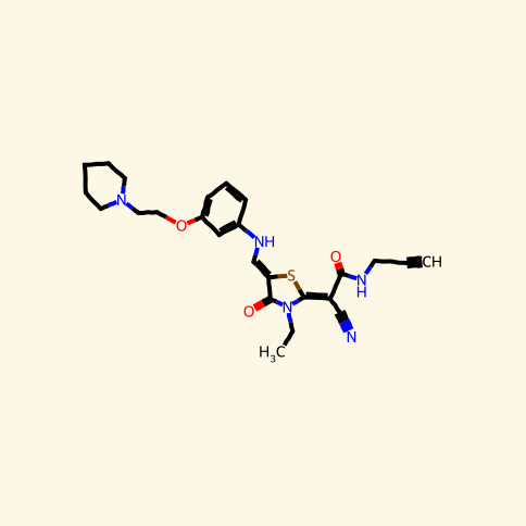 C#CCNC(=O)C(C#N)=c1sc(=CNc2cccc(OCCN3CCCCC3)c2)c(=O)n1CC